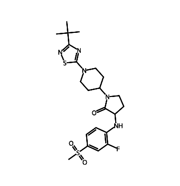 CC(C)(C)c1nsc(N2CCC(N3CCC(Nc4ccc(S(C)(=O)=O)cc4F)C3=O)CC2)n1